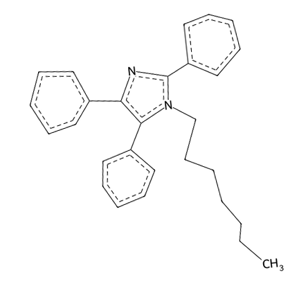 CCCCCCCn1c(-c2ccccc2)nc(-c2ccccc2)c1-c1ccccc1